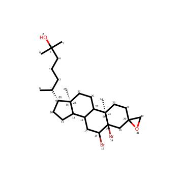 CC(CCCC(C)(C)O)[C@H]1CCC2C3CC(Br)C4(Br)CC5(CC[C@]4(C)C3CC[C@@]21C)CO5